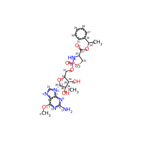 COc1nc(N)nc2c1ncn2[C@@H]1OC(COP2(=O)NC(C(=O)OC(C)c3ccccc3)CS2)[C@@H](O)[C@@]1(C)O